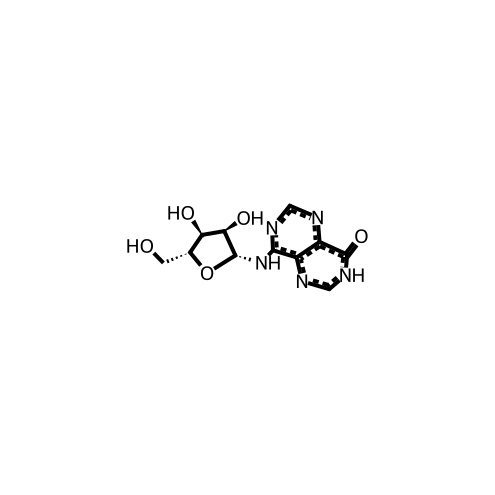 O=c1[nH]cnc2c(N[C@@H]3O[C@H](CO)[C@@H](O)[C@H]3O)ncnc12